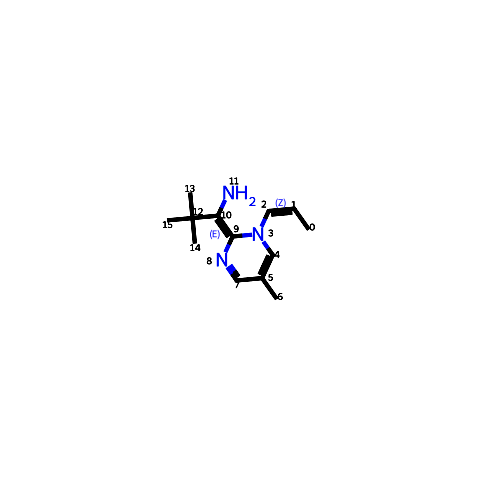 C/C=C\N1C=C(C)C=N/C1=C(/N)C(C)(C)C